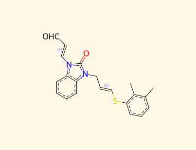 Cc1cccc(S/C=C/Cn2c(=O)n(/C=C/C=O)c3ccccc32)c1C